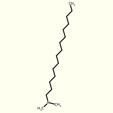 CCCCCCC[CH]CCCCCCCN(C)C